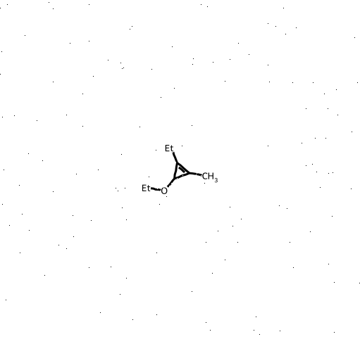 CCOC1C(C)=C1CC